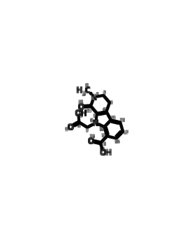 CN1CCc2c(n(CC(=O)O)c3c(C(=O)O)cccc23)C1=O